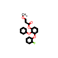 COC=CC(=O)Oc1cccc(Oc2ccccc2F)c1Oc1ccccc1